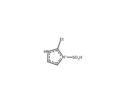 CCc1[nH]cc[n+]1S(=O)(=O)O